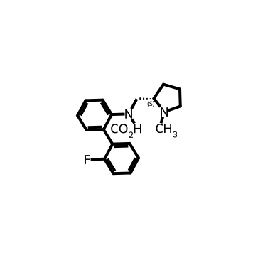 CN1CCC[C@H]1CN(C(=O)O)c1ccccc1-c1ccccc1F